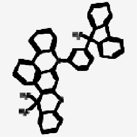 CC1(C)c2ccccc2Sc2cc(N(c3cccc(C4(C)c5ccccc5-c5ccccc54)c3)c3ccccc3-c3ccccc3)ccc21